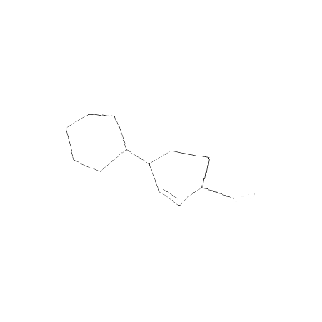 O=CC1C=CC(C2CCCCC2)CC1